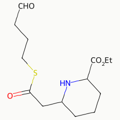 CCOC(=O)C1CCCC(CC(=O)SCCCC=O)N1